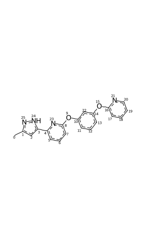 Cc1cc(-c2cccc(Oc3cccc(Oc4ccccn4)c3)n2)[nH]n1